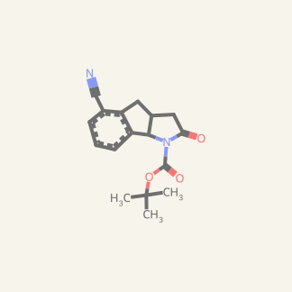 CC(C)(C)OC(=O)N1C(=O)CC2Cc3c(C#N)cccc3C21